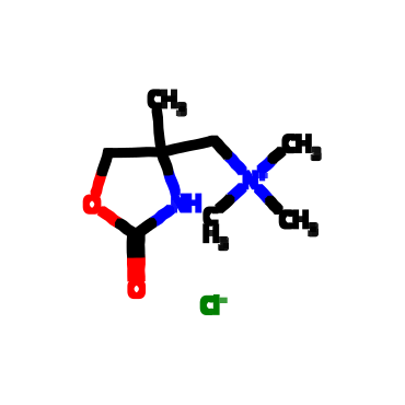 CC1(C[N+](C)(C)C)COC(=O)N1.[Cl-]